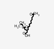 CC(=O)CCCCCC/C=C/CC(CC(=O)O)CC(=O)OCC(C)C